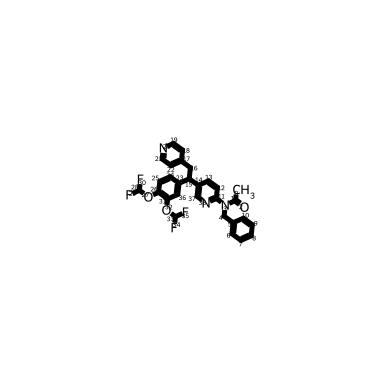 CC(=O)N(Cc1ccccc1)c1ccc(C(Cc2ccncc2)c2ccc(OC(F)F)c(OC(F)F)c2)cn1